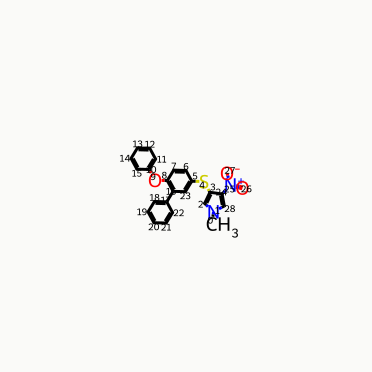 Cn1cc(Sc2ccc(Oc3ccccc3)c(-c3ccccc3)c2)c([N+](=O)[O-])c1